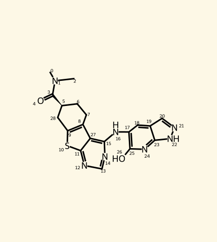 CN(C)C(=O)[C@H]1CCc2c(sc3ncnc(Nc4cc5cn[nH]c5nc4O)c23)C1